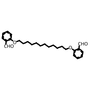 O=Cc1ccccc1OCCCCCCCCCCCCOc1ccccc1C=O